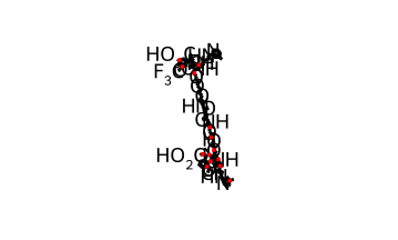 Cc1ccnc(NCCCC(=O)N[C@@H](COCCOCCOCCNC(=O)CCC(=O)NCCOCCOCCOC[C@H](NC(=O)CCCNc2cc(C)ccn2)C(=O)NC(CC(=O)O)c2cccc(OC(F)(F)F)c2)C(=O)NC(CC(=O)O)c2cccc(OC(F)(F)F)c2)c1